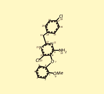 COc1ccccc1Oc1c(N)nc(Cc2ccc(Cl)cc2)nc1Cl